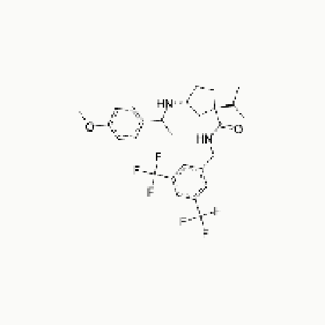 COc1ccc(C(C)N[C@@H]2CC[C@@](C(=O)NCc3cc(C(F)(F)F)cc(C(F)(F)F)c3)(C(C)C)C2)cc1